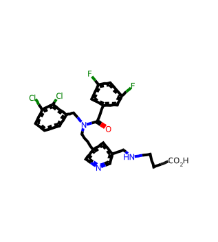 O=C(O)CCNCc1cncc(CN(Cc2cccc(Cl)c2Cl)C(=O)c2cc(F)cc(F)c2)c1